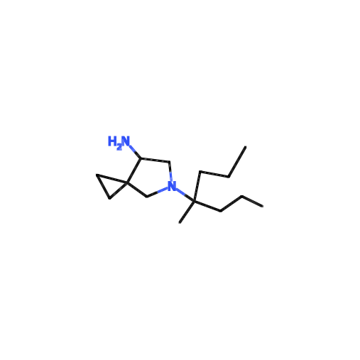 CCCC(C)(CCC)N1CC(N)C2(CC2)C1